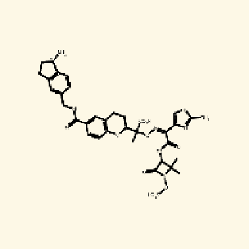 CC(ON=C(C(=O)NC1C(=O)N(OS(=O)(=O)O)C1(C)C)c1csc(N)n1)(C(=O)O)C1CCc2cc(C(=N)NCc3ccc4c(c3)CC[C@H]4N)ccc2O1